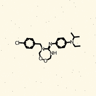 CCN(c1ccc(/N=C2\NCOOCN2Cc2ccc(Cl)cc2)cc1)C(C)C